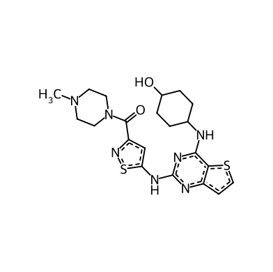 CN1CCN(C(=O)c2cc(Nc3nc(NC4CCC(O)CC4)c4sccc4n3)sn2)CC1